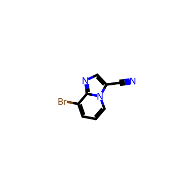 N#Cc1cnc2c(Br)cccn12